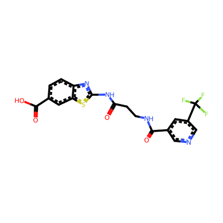 O=C(CCNC(=O)c1cncc(C(F)(F)F)c1)Nc1nc2ccc(C(=O)O)cc2s1